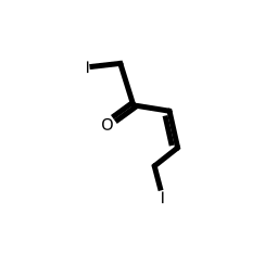 O=C(/C=C\CI)CI